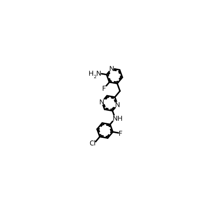 Nc1nccc(Cc2cncc(Nc3ccc(Cl)cc3F)n2)c1F